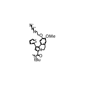 COc1cc2c(cc1OCCN=[N+]=[N-])-c1c(-c3cccs3)cc(C(=O)N(C)C(C)(C)C)n1CC2